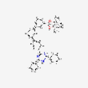 CC1(C)OB(c2cccc(-c3cccc(-c4ccc(-c5nc(-c6ccccc6)nc(-c6ccccc6)n5)cc4)c3)c2)OC1(C)C